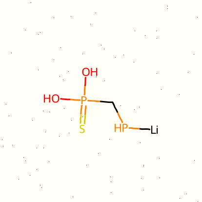 [Li][PH]CP(O)(O)=S